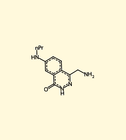 CCCNc1ccc2c(CN)n[nH]c(=O)c2c1